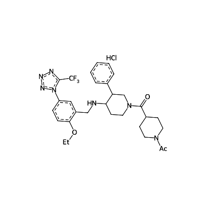 CCOc1ccc(-n2nnnc2C(F)(F)F)cc1CNC1CCN(C(=O)C2CCN(C(C)=O)CC2)CC1c1ccccc1.Cl